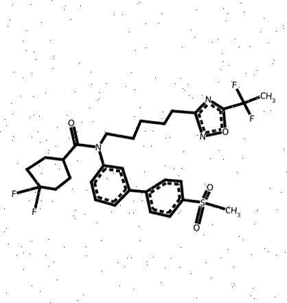 CC(F)(F)c1nc(CCCCCN(C(=O)C2CCC(F)(F)CC2)c2cccc(-c3ccc(S(C)(=O)=O)cc3)c2)no1